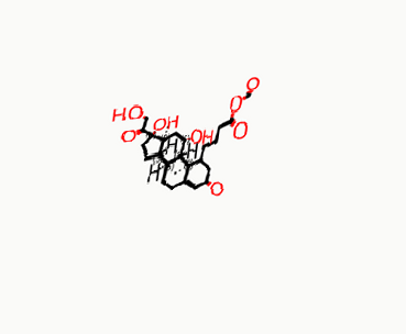 C[C@]12C[C@H](O)[C@H]3[C@@H](CCC4=CC(=O)CC(CCCC(=O)OC=O)[C@@]43C)[C@@H]1CC[C@]2(O)C(=O)CO